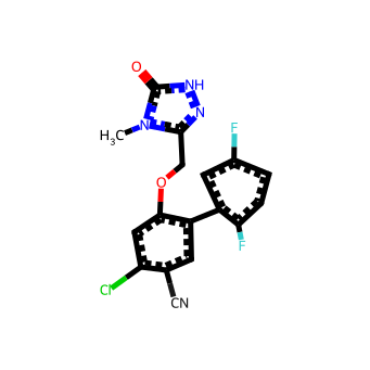 Cn1c(COc2cc(Cl)c(C#N)cc2-c2cc(F)ccc2F)n[nH]c1=O